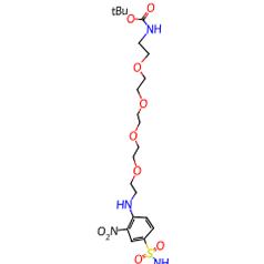 CC(C)(C)OC(=O)NCCOCCOCCOCCOCCNc1ccc(S(N)(=O)=O)cc1[N+](=O)[O-]